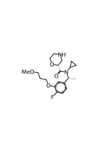 COCCCOc1cc([C@@H](C)N(C(=O)[C@H]2CNCCO2)C2CC2)ccc1F